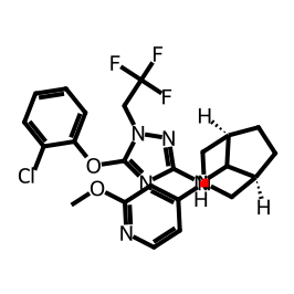 COc1cc(N2C[C@H]3CC[C@@H](C2)C3Nc2nc(Oc3ccccc3Cl)n(CC(F)(F)F)n2)ccn1